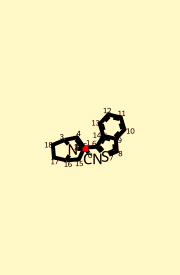 N#CCN1C2C=C(c3scc4ccccc34)CC1CC2